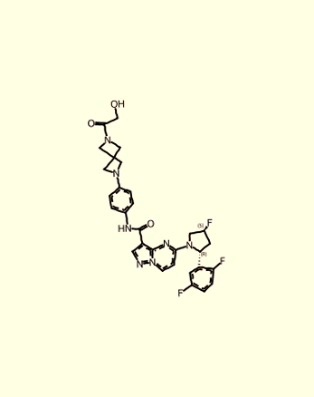 O=C(Nc1ccc(N2CC3(CN(C(=O)CO)C3)C2)cc1)c1cnn2ccc(N3C[C@@H](F)C[C@@H]3c3cc(F)ccc3F)nc12